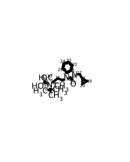 CC(C)(C)N(C(=O)O)C(C)(C)CCn1c(=O)n(CC2CC2)c2ccccc21